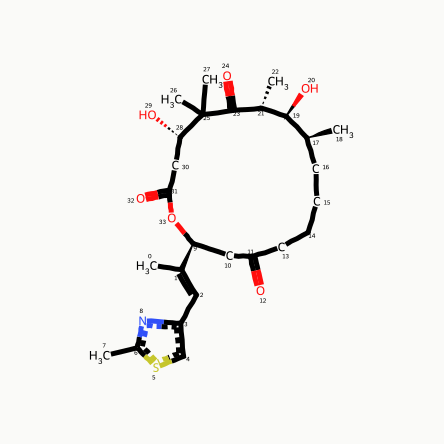 C/C(=C\c1csc(C)n1)[C@@H]1CC(=O)CCCC[C@H](C)[C@H](O)[C@@H](C)C(=O)C(C)(C)[C@@H](O)CC(=O)O1